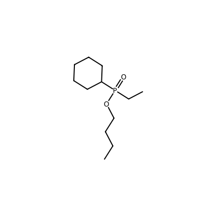 CCCCOP(=O)(CC)C1CCCCC1